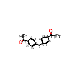 CC(C)C(=O)c1ccc(Cc2ccc(C(=O)C(C)C)cc2)cc1